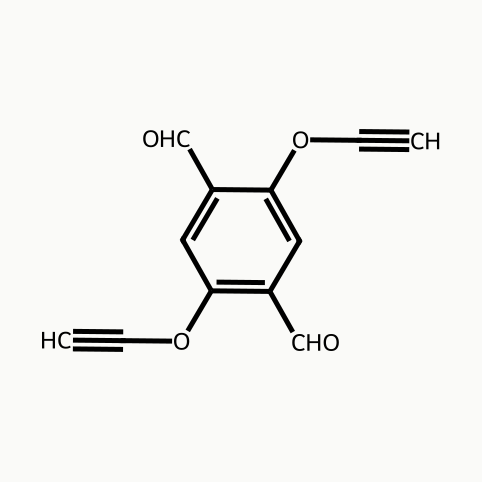 C#COc1cc(C=O)c(OC#C)cc1C=O